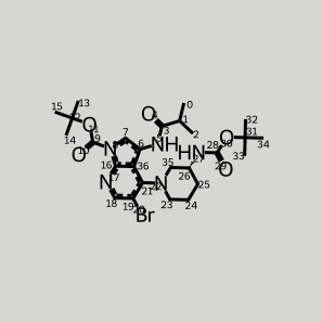 CC(C)C(=O)Nc1cn(C(=O)OC(C)(C)C)c2ncc(Br)c(N3CCC[C@@H](NC(=O)OC(C)(C)C)C3)c12